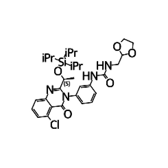 CC(C)[Si](O[C@@H](C)c1nc2cccc(Cl)c2c(=O)n1-c1cccc(NC(=O)NCC2OCCO2)c1)(C(C)C)C(C)C